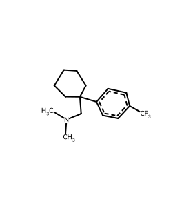 CN(C)CC1(c2ccc(C(F)(F)F)cc2)CCCCC1